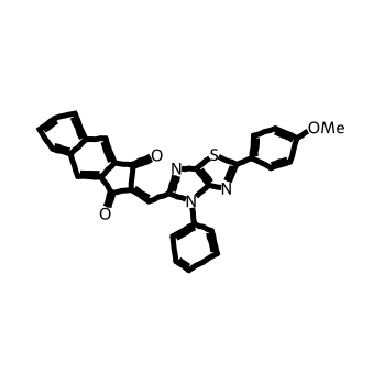 COc1ccc(-c2nc3c(nc(C=C4C(=O)c5cc6ccccc6cc5C4=O)n3-c3ccccc3)s2)cc1